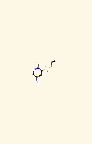 C=CCS(=O)(=O)c1cc(N)cnc1[N+](=O)[O-]